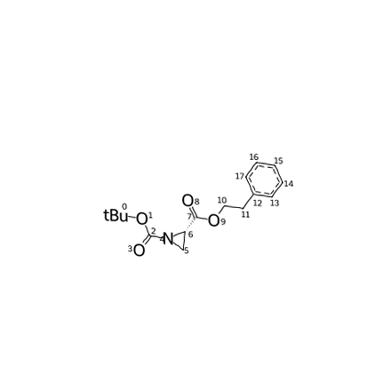 CC(C)(C)OC(=O)N1C[C@H]1C(=O)OCCc1ccccc1